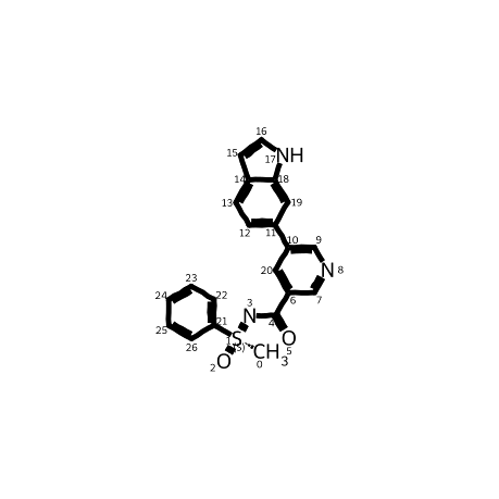 C[S@@](=O)(=NC(=O)c1cncc(-c2ccc3cc[nH]c3c2)c1)c1ccccc1